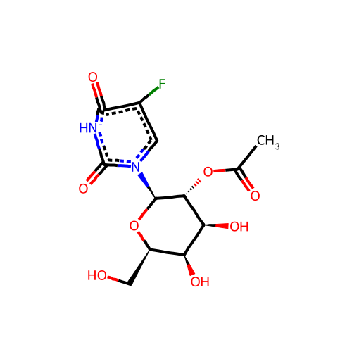 CC(=O)O[C@@H]1[C@@H](O)[C@@H](O)[C@@H](CO)O[C@H]1n1cc(F)c(=O)[nH]c1=O